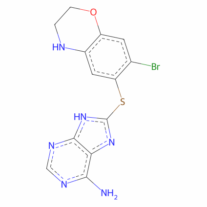 Nc1ncnc2[nH]c(Sc3cc4c(cc3Br)OCCN4)nc12